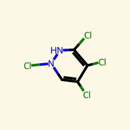 ClC1=CN(Cl)NC(Cl)=C1Cl